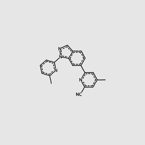 Cc1cc(C#N)nc(-c2ccc3cnn(-c4cccc(C)n4)c3c2)c1